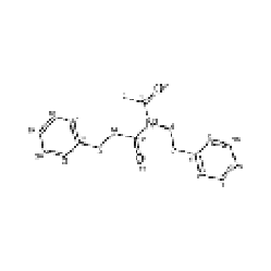 CC(=O)N(CCc1ccccc1)C(=O)CCc1ccccc1